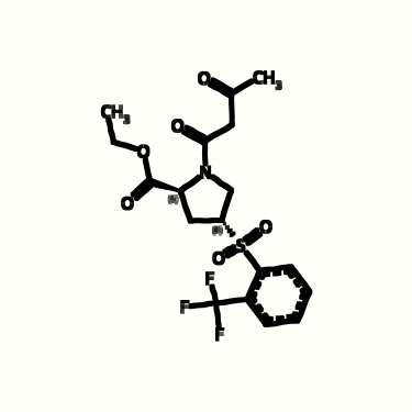 CCOC(=O)[C@@H]1C[C@@H](S(=O)(=O)c2ccccc2C(F)(F)F)CN1C(=O)CC(C)=O